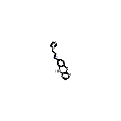 C(=C\c1ccc2c(c1)Nc1nccnc1S2)/Cn1ccnc1